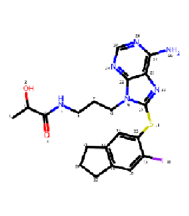 CC(O)C(=O)NCCCn1c(Sc2cc3c(cc2I)CCC3)nc2c(N)ncnc21